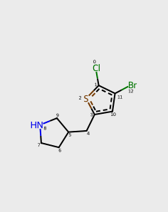 Clc1sc(CC2CCNC2)cc1Br